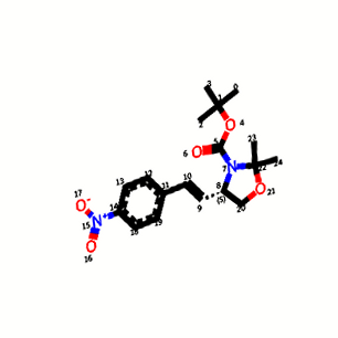 CC(C)(C)OC(=O)N1[C@@H](C=Cc2ccc([N+](=O)[O-])cc2)COC1(C)C